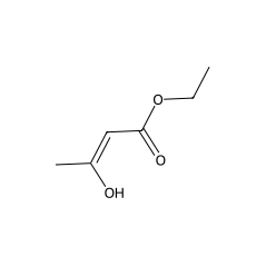 CCOC(=O)C=C(C)O